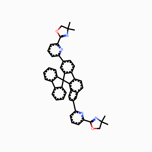 CC1(C)COC(c2cccc(-c3ccc4c(c3)C3(c5ccccc5-c5ccccc53)c3c-4ccc4cc(-c5cccc(C6=NC(C)(C)CO6)n5)ccc34)n2)=N1